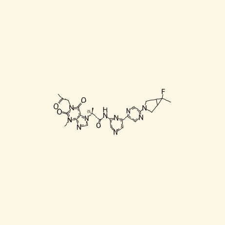 CC(=O)Cn1c(=O)c2c(ncn2[C@@H](C)C(=O)Nc2cncc(-c3cnc(N4CC5C(C4)C5(C)F)cn3)n2)n(C)c1=O